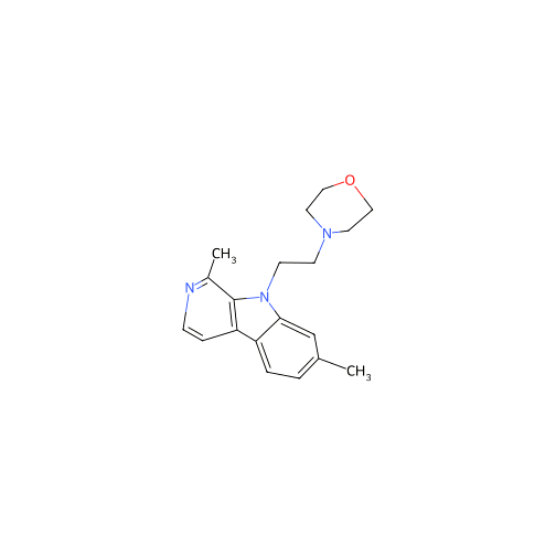 Cc1ccc2c3ccnc(C)c3n(CCN3CCOCC3)c2c1